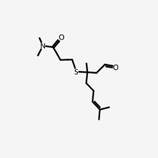 CC(C)=CCCC(C)(CC=O)SCCC(=O)N(C)C